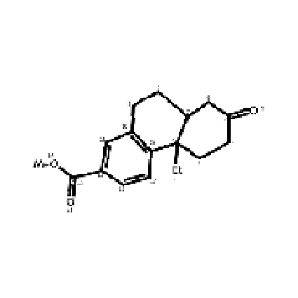 CCC12CCC(=O)CC1CCc1cc(C(=O)OC)ccc12